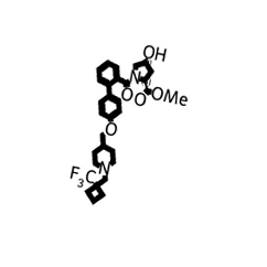 COC(=O)[C@@H]1C[C@@H](O)CN1C(=O)c1ccccc1-c1ccc(OCC2CCN(CC3(C(F)(F)F)CCC3)CC2)cc1